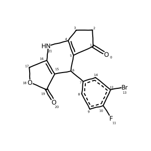 O=C1CCC2=C1C(c1ccc(F)c(Br)c1)C1=C(COC1=O)N2